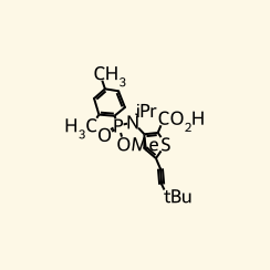 COP(=O)(c1ccc(C)cc1C)N(c1cc(C#CC(C)(C)C)sc1C(=O)O)C(C)C